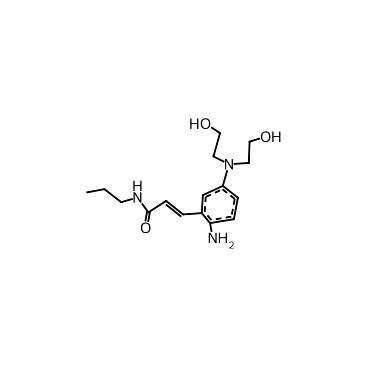 CCCNC(=O)C=Cc1cc(N(CCO)CCO)ccc1N